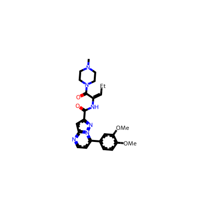 CC/C=C(/NC(=O)c1cc2nccc(-c3ccc(OC)c(OC)c3)n2n1)C(=O)N1CCN(C)CC1